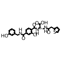 O=C(Cc1cccs1)NC[C@H](NC(=O)c1ccc(C(=O)NCc2cccc(O)c2)cc1Cl)C(=O)O